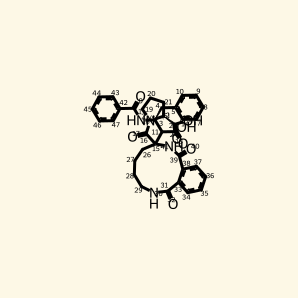 O=C(N[C@@H](Cc1ccccc1)C(C(=O)O)C1(C(=O)N2CCC[C@H]2C(=O)O)CCCCNC(=O)c2ccccc2C(=O)N1)c1ccccc1